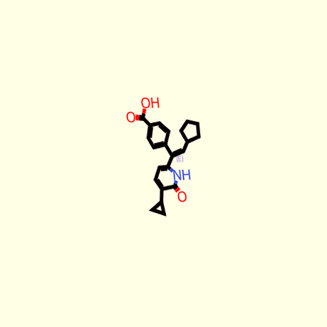 O=C(O)c1ccc(/C(=C\C2CCCC2)c2ccc(C3CC3)c(=O)[nH]2)cc1